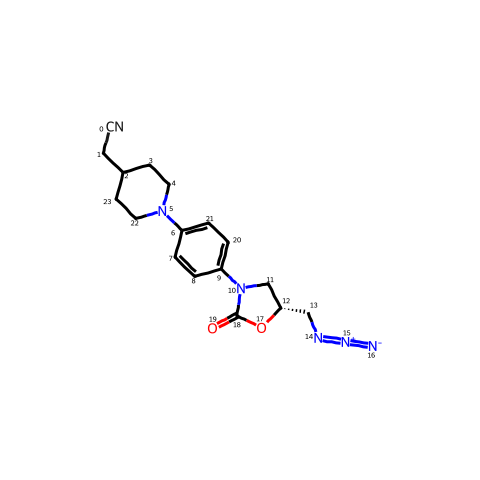 N#CCC1CCN(c2ccc(N3C[C@H](CN=[N+]=[N-])OC3=O)cc2)CC1